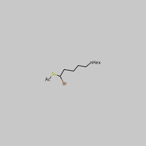 CCCCCCCCCCC(Br)SC(C)=O